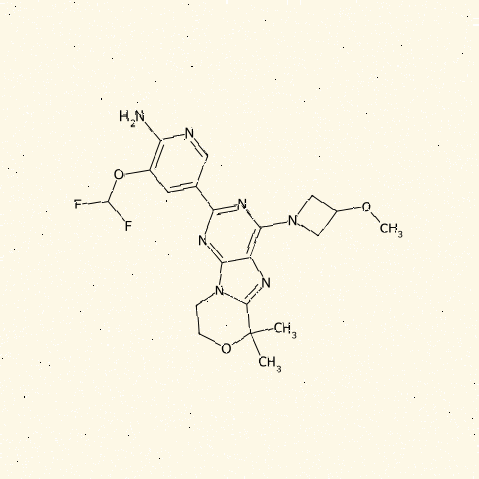 COC1CN(c2nc(-c3cnc(N)c(OC(F)F)c3)nc3c2nc2n3CCOC2(C)C)C1